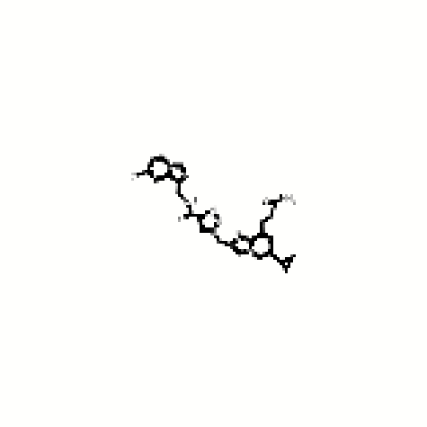 NC(=O)CCc1cc(C2CC2)cn2cc(Cn3cc(C(=O)NCc4ncn5ccc(Cl)cc45)nn3)nc12